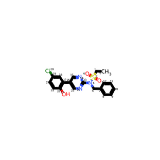 CCS(=O)(=O)N(Cc1ccccc1)c1ncc(-c2cc(Cl)ccc2O)cn1